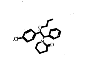 CCCO[C@H](c1ccc(Cl)cc1)[C@H](c1ccccc1)N1CCCCC1=O